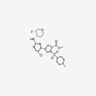 COC(=O)c1cc(-c2nc(N[C@H]3CCOC[C@H]3F)ncc2Cl)cn1S(=O)(=O)c1ccc(C)cc1